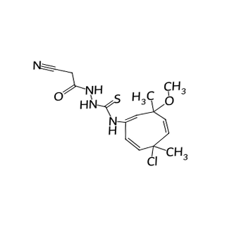 COC1(C)/C=C\C(C)(Cl)/C=C\C(NC(=S)NNC(=O)CC#N)=C/1